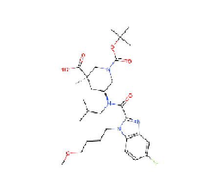 COCCCCn1c(C(=O)N(CC(C)C)[C@@H]2CN(C(=O)OC(C)(C)C)C[C@](C)(C(=O)O)C2)nc2cc(F)ccc21